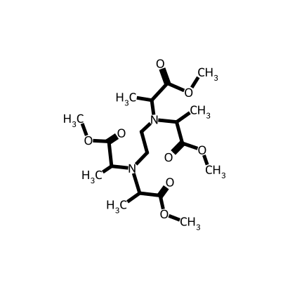 COC(=O)C(C)N(CCN(C(C)C(=O)OC)C(C)C(=O)OC)C(C)C(=O)OC